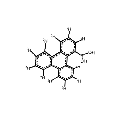 [2H]c1c([2H])c([2H])c2c(c1[2H])c1c([2H])c([2H])c([2H])c([2H])c1c1c(B(O)O)c([2H])c([2H])c([2H])c21